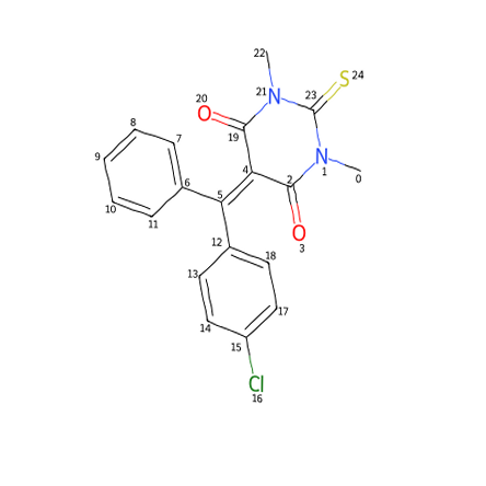 CN1C(=O)C(=C(c2ccccc2)c2ccc(Cl)cc2)C(=O)N(C)C1=S